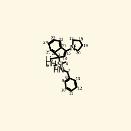 [LiH].[Li][C]1([Si](C)(C)NCc2ccccc2)C=C(N2CCCC2)c2ccccc21